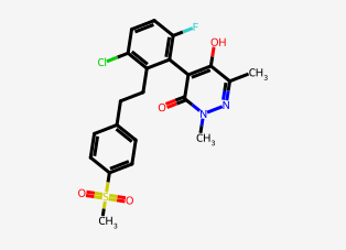 Cc1nn(C)c(=O)c(-c2c(F)ccc(Cl)c2CCc2ccc(S(C)(=O)=O)cc2)c1O